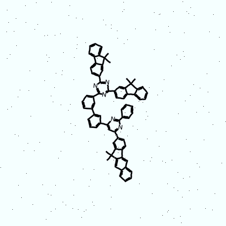 CC1(C)c2ccccc2-c2ccc(-c3nc(-c4cccc(-c5cccc(-c6cc(-c7ccc8c(c7)C(C)(C)c7cc9ccccc9cc7-8)nc(-c7ccccc7)n6)c5)c4)nc(-c4ccc5c(c4)C(C)(C)c4ccccc4-5)n3)cc21